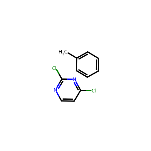 Cc1ccccc1.Clc1ccnc(Cl)n1